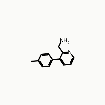 Cc1ccc(-c2cccnc2CN)cc1